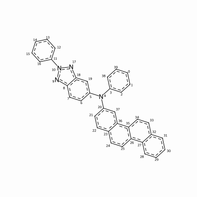 c1ccc(N(c2ccc3nn(-c4ccccc4)nc3c2)c2ccc3ccc4c5ccccc5ccc4c3c2)cc1